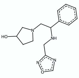 OC1CCN(CC(NCc2ncon2)c2ccccc2)C1